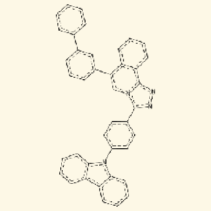 c1ccc(-c2cccc(-c3cn4c(-c5ccc(-n6c7ccccc7c7ccccc76)cc5)nnc4c4ccccc34)c2)cc1